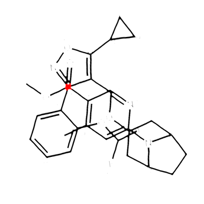 COC(=O)c1cnc(N2C3CCC2CC(OCc2c(-c4ccccc4OC(F)F)noc2C2CC2)C3)cc1C